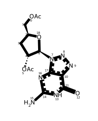 CC(=O)OC[C@@H]1C[C@@H](OC(C)=O)[C@H](n2nnc3c(=O)[nH]c(N)nc32)O1